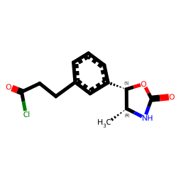 C[C@H]1NC(=O)O[C@H]1c1cccc(CCC(=O)Cl)c1